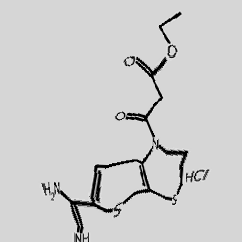 CCOC(=O)CC(=O)N1CCSc2sc(C(=N)N)cc21.Cl